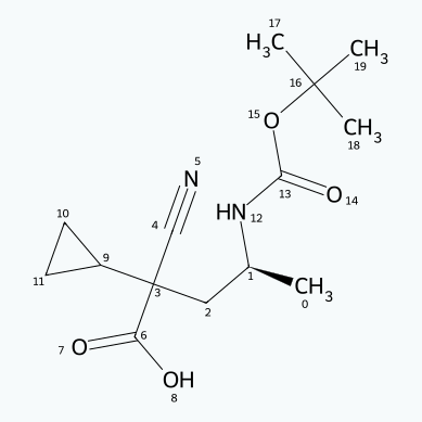 C[C@@H](CC(C#N)(C(=O)O)C1CC1)NC(=O)OC(C)(C)C